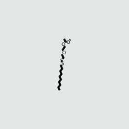 CCCCCCCCCCSSCCOCCOC(C)OC